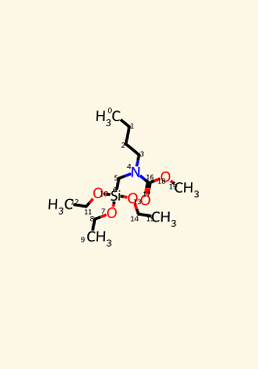 CCCCN(C[Si](OCC)(OCC)OCC)C(=O)OC